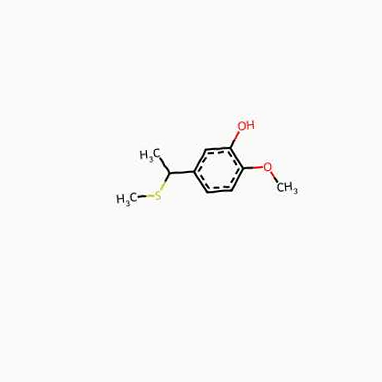 COc1ccc(C(C)SC)cc1O